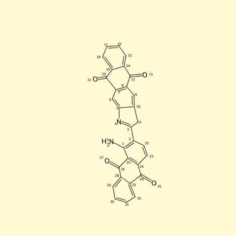 Nc1c(C2=Nc3cc4c(cc3C2)C(=O)c2ccccc2C4=O)ccc2c1C(=O)c1ccccc1C2=O